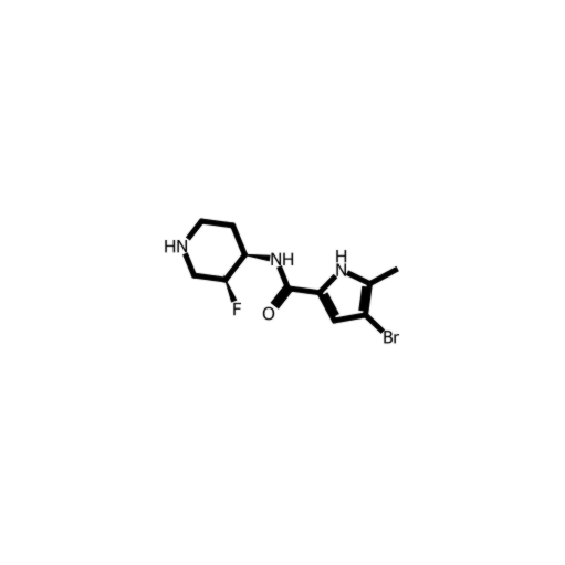 Cc1[nH]c(C(=O)N[C@@H]2CCNC[C@@H]2F)cc1Br